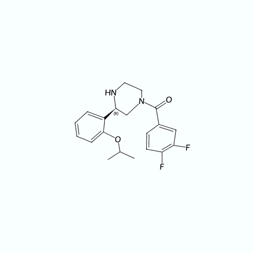 CC(C)Oc1ccccc1[C@@H]1CN(C(=O)c2ccc(F)c(F)c2)CCN1